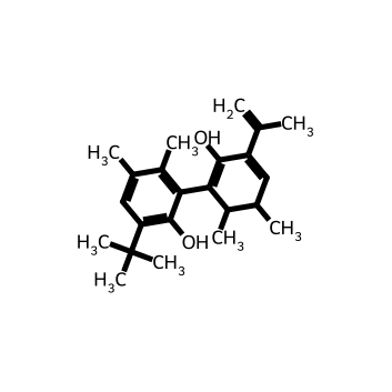 C=C(C)C1=CC(C)C(C)C(c2c(C)c(C)cc(C(C)(C)C)c2O)=C1O